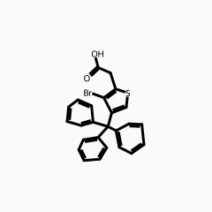 O=C(O)Cc1scc(C(c2ccccc2)(c2ccccc2)c2ccccc2)c1Br